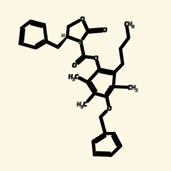 CCCCc1c(C)c(OCc2ccccc2)c(C)c(C)c1OC(=O)N1C(=O)OC[C@@H]1Cc1ccccc1